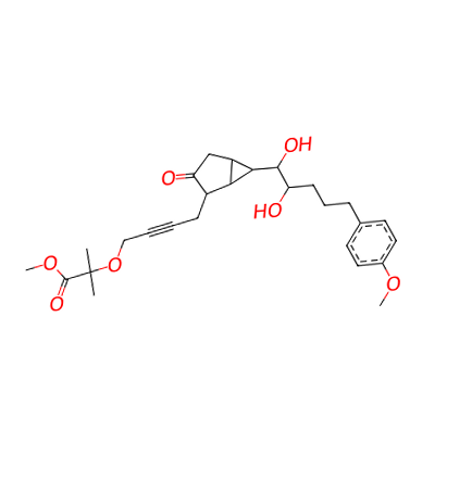 COC(=O)C(C)(C)OCC#CCC1C(=O)CC2C1C2C(O)C(O)CCCc1ccc(OC)cc1